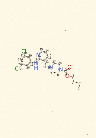 CCCCOC(=O)N1CCN(Cc2cccnc2Nc2cc(Cl)cc(Cl)c2)CC1